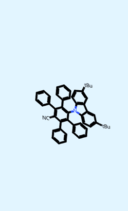 CC(C)(C)c1ccc2c(c1)c1cc(C(C)(C)C)ccc1n2-c1c(-c2ccccc2)c(-c2ccccc2)c(C#N)c(-c2ccccc2)c1-c1ccccc1